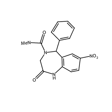 CNC(=O)N1CC(=O)Nc2ccc([N+](=O)[O-])cc2C1c1ccccc1